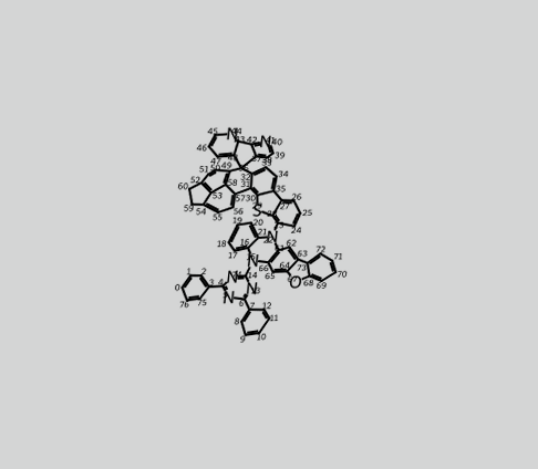 c1ccc(-c2nc(-c3ccccc3)nc(N3c4ccccc4N(c4cccc5c4sc4c6c(ccc45)C4(c5cccnc5-c5ncccc54)c4ccc5c7c(ccc-6c47)CC5)c4cc5c(cc43)oc3ccccc35)n2)cc1